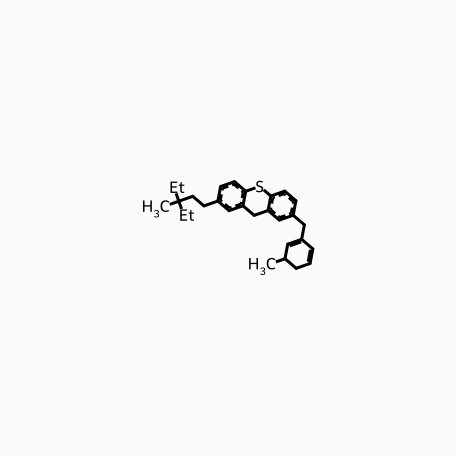 CCC(C)(CC)CCc1ccc2c(c1)Cc1cc(CC3=CC(C)CC=C3)ccc1S2